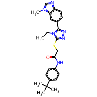 CCn1c(SCC(=O)Nc2ccc(C(C)(C)C)cc2)nnc1-c1ccc2ncn(C)c2c1